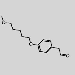 COCCCCCOc1ccc(CC=O)cc1